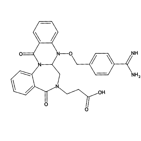 N=C(N)c1ccc(CON2c3ccccc3C(=O)N3c4ccccc4C(=O)N(CCC(=O)O)CC23)cc1